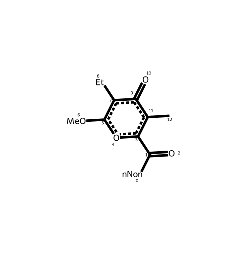 CCCCCCCCCC(=O)c1oc(OC)c(CC)c(=O)c1C